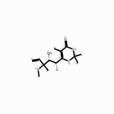 C=CC(C)(OC)[C@H](O)[C@@H](C)C1=C(C)C(=O)OC(C)(C)O1